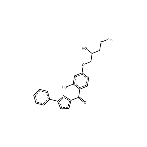 CCCCOCC(O)COc1ccc(C(=O)c2ccc(-c3ccccc3)s2)c(O)c1